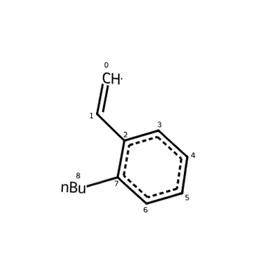 [CH]=Cc1ccccc1CCCC